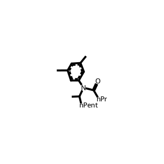 CCCCCC(C)N(C(=O)CCC)c1cc(C)cc(C)c1